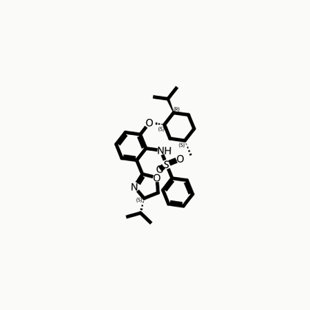 CC(C)[C@H]1CC[C@H](C)C[C@@H]1Oc1cccc(C2=N[C@@H](C(C)C)CO2)c1NS(=O)(=O)c1ccccc1